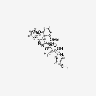 COc1cccc(OC)c1-n1c(NS(=O)(=O)C(C)C(O)c2ncc(C)cn2)nnc1-c1ccccc1